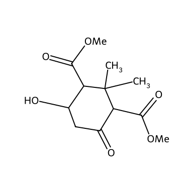 COC(=O)C1C(=O)CC(O)C(C(=O)OC)C1(C)C